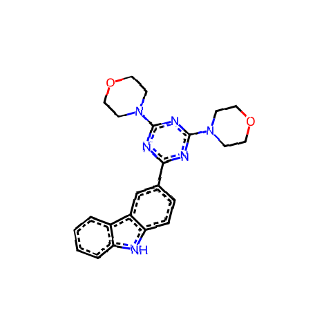 c1ccc2c(c1)[nH]c1ccc(-c3nc(N4CCOCC4)nc(N4CCOCC4)n3)cc12